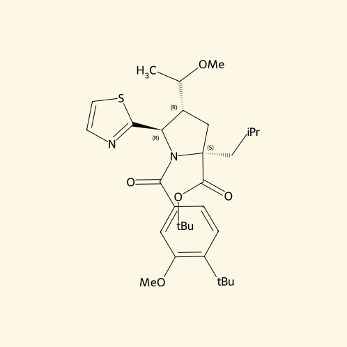 COc1cc(C(=O)N2[C@@H](c3nccs3)[C@H](C(C)OC)C[C@@]2(CC(C)C)C(=O)OC(C)(C)C)ccc1C(C)(C)C